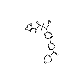 CC(C)CC(c1ccc(-c2ccc(C(=O)N3CCOCC3)cc2)cc1)C(C)(C)C(=O)Nc1nncs1